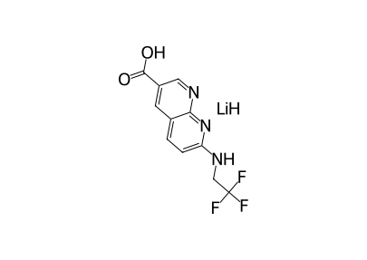 O=C(O)c1cnc2nc(NCC(F)(F)F)ccc2c1.[LiH]